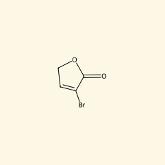 O=C1OCC=C1Br